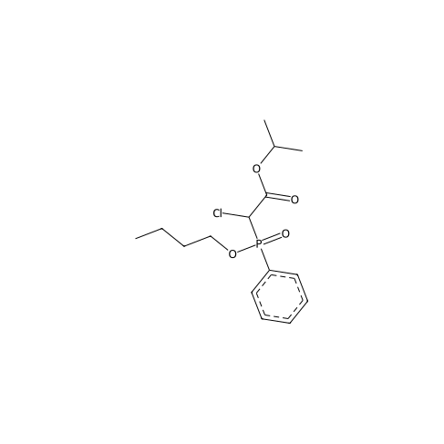 CCCCOP(=O)(c1ccccc1)C(Cl)C(=O)OC(C)C